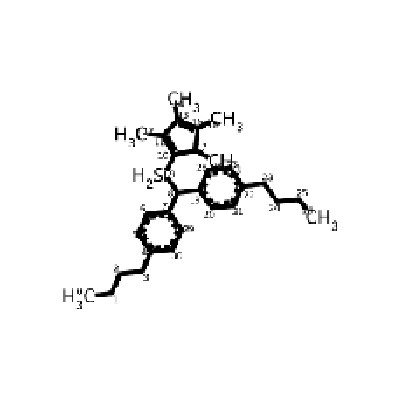 CCCCc1ccc(C([SiH2]C2=C(C)C(C)=C(C)C2C)c2ccc(CCCC)cc2)cc1